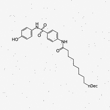 CCCCCCCCCCCCCCCCCCC(=O)Nc1ccc(S(=O)(=O)Nc2ccc(O)cc2)cc1